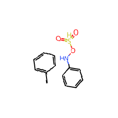 Cc1ccccc1.O=[SH](=O)ONc1ccccc1